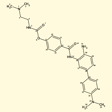 CN(C)CCNC(=O)Oc1ccc(C(=O)Nc2cc(-c3ccc(N(C)C)cc3)ccc2N)cc1